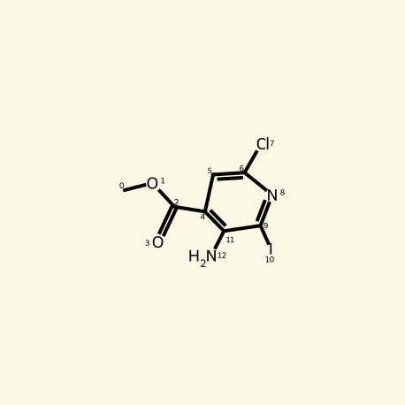 COC(=O)c1cc(Cl)nc(I)c1N